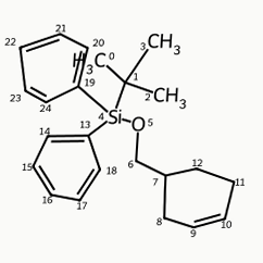 CC(C)(C)[Si](OCC1CC=CCC1)(c1ccccc1)c1ccccc1